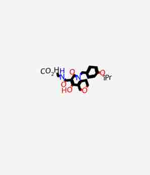 CC(C)Oc1ccc(Cn2c3c(c(O)c(C(=O)NCC(=O)O)c2=O)COCC3)cc1